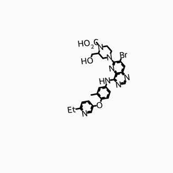 CCc1ccc(Oc2ccc(Nc3ncnc4cc(Br)c(N5CCN(C(=O)O)C(CO)C5)nc34)cc2C)cn1